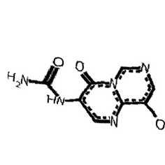 NC(=O)Nc1cnc2c(O)cncn2c1=O